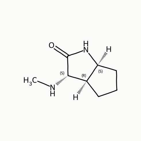 CN[C@@H]1C(=O)N[C@H]2CCC[C@H]21